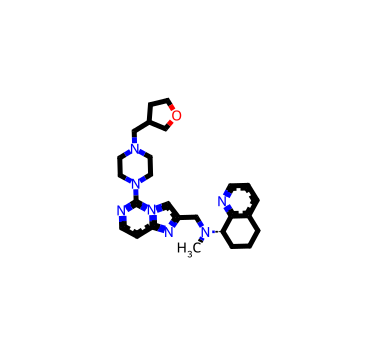 CN(Cc1cn2c(N3CCN(CC4CCOC4)CC3)nccc2n1)[C@H]1CCCc2cccnc21